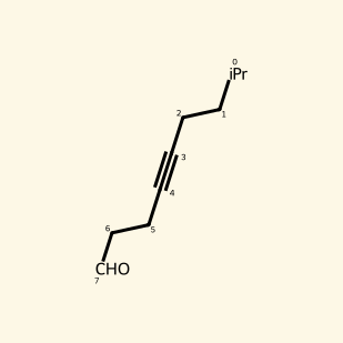 CC(C)CCC#CCCC=O